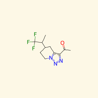 CC(=O)c1nnn2c1CC(C(C)C(F)(F)F)CC2